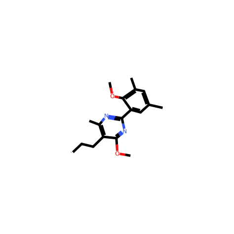 [CH2]CCc1c(C)nc(-c2cc(C)cc(C)c2OC)nc1OC